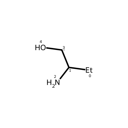 CCC(N)[CH]O